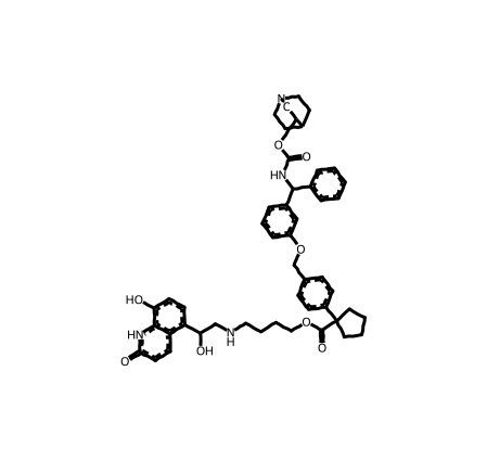 O=C(NC(c1ccccc1)c1cccc(OCc2ccc(C3(C(=O)OCCCCNCC(O)c4ccc(O)c5[nH]c(=O)ccc45)CCCC3)cc2)c1)OC1CN2CCC1CC2